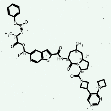 C[C@H]1C[C@H]2CC[C@@H](C(=O)N3CC(c4cncnc4N4CCC4)C3)N2C(=O)[C@@H](NC(=O)c2cc3cc([C@@H](F)OC(=O)[C@H](C)N=[P+]([O-])Oc4ccccc4)ccc3s2)C1